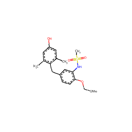 COCOc1ccc(Cc2c(C)cc(O)cc2C)cc1NS(C)(=O)=O